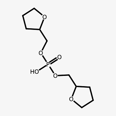 O=P(O)(OCC1CCCO1)OCC1CCCO1